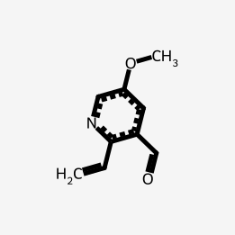 C=Cc1ncc(OC)cc1C=O